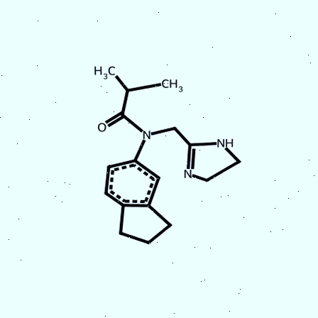 CC(C)C(=O)N(CC1=NCCN1)c1ccc2c(c1)CCC2